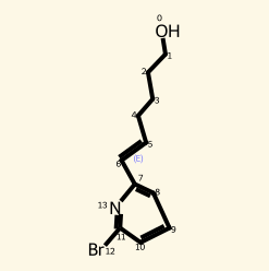 OCCCC/C=C/c1cccc(Br)n1